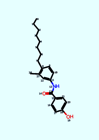 CCCCCCCCc1ccc(NC(=O)c2ccc(O)cc2)cc1C